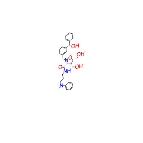 C[C@@H](O)[C@H]1[C@@H](CO)ON(Cc2cccc([C@@H](O)c3ccccc3)c2)[C@H]1C(=O)NCCCN(C)c1ccccc1